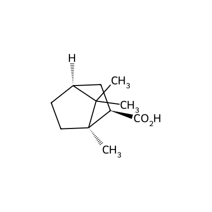 CC1(C)[C@H]2CC[C@]1(C)[C@H](C(=O)O)C2